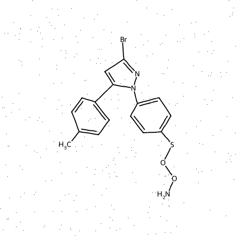 Cc1ccc(-c2cc(Br)nn2-c2ccc(SOON)cc2)cc1